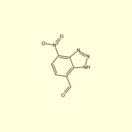 O=Cc1ccc([N+](=O)[O-])c2nn[nH]c12